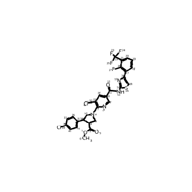 COC(=O)C1CN(c2ncc(C(=O)Nc3nc(-c4cccc(C(F)(F)F)c4F)cs3)cc2Cl)CC1c1ccc(Cl)cc1